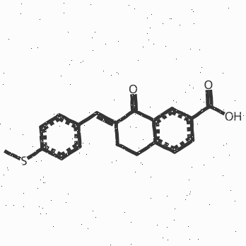 CSc1ccc(/C=C2\CCc3ccc(C(=O)O)cc3C2=O)cc1